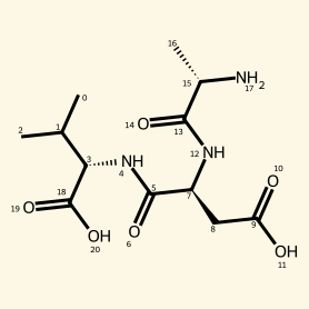 CC(C)[C@H](NC(=O)[C@H](CC(=O)O)NC(=O)[C@H](C)N)C(=O)O